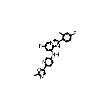 Cc1ncc(-c2ccc(Nc3cc(F)cn4cc(-c5ccc(F)cc5C)nc34)cn2)o1